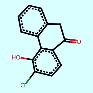 O=C1Cc2ccccc2-c2c1ccc(Cl)c2O